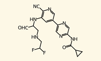 N#Cc1ncc(-c2cnc(NC(=O)C3CC3)cn2)cc1NC(C=O)CNCC(F)F